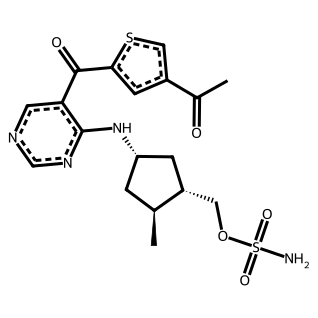 CC(=O)c1csc(C(=O)c2cncnc2N[C@@H]2C[C@H](COS(N)(=O)=O)[C@@H](C)C2)c1